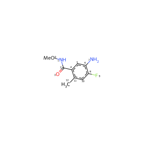 CONC(=O)c1cc(N)c(F)cc1C